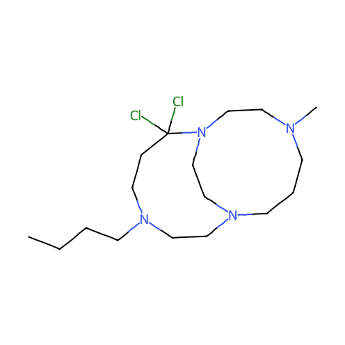 CCCCN1CCN2CCCN(C)CCN(CC2)C(Cl)(Cl)CC1